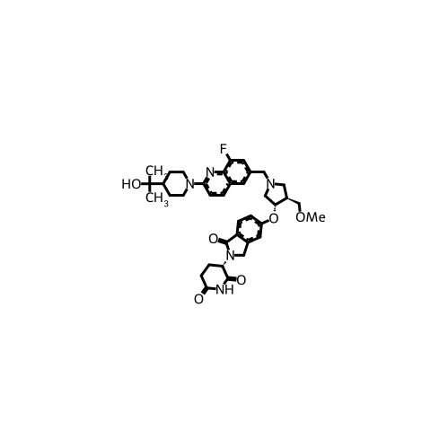 COC[C@@H]1CN(Cc2cc(F)c3nc(N4CCC(C(C)(C)O)CC4)ccc3c2)C[C@H]1Oc1ccc2c(c1)CN([C@H]1CCC(=O)NC1=O)C2=O